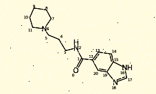 O=C(NCCCN1CCCCC1)c1ccc2[nH]cnc2c1